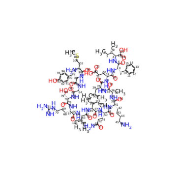 CC[C@H](C)[C@H](NC(=O)[C@H](Cc1ccccc1)NC(=O)[C@H](CCC(=O)O)NC(=O)[C@H](CC(C)C)NC(=O)[C@H](C)NC(=O)[C@H](CCCCN)NC(=O)[C@H](CCC(N)=O)NC(=O)[C@@H](NC(=O)[C@@H](NC(=O)[C@H](CCCNC(=N)N)NC(=O)[C@H](CO)NC(=O)CNC(=O)[C@H](Cc1ccc(O)cc1)NC(=O)[C@@H](N)CCSC)C(C)C)[C@@H](C)CC)C(=O)O